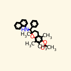 CC(=O)Oc1c(C)c(C)c2c(c1C)CCC(C)(C(Nc1cccc3ccccc13)c1ccccc1)O2